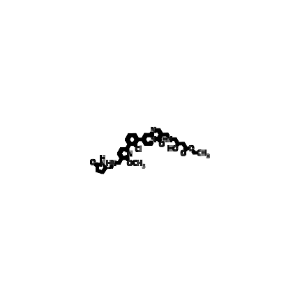 CCOC(=O)CC(O)CNCc1cnc2cc(-c3cccc(-c4ccc(CNC[C@@H]5CCC(=O)N5)c(OC)n4)c3Cl)ccn2c1=O